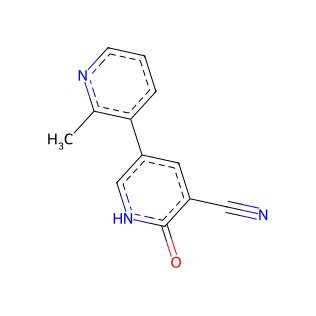 Cc1ncccc1-c1c[nH]c(=O)c(C#N)c1